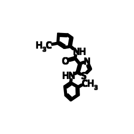 Cc1cccc(NC(=O)c2ncsc2Nc2ccccc2C)c1